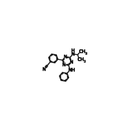 CC(C)Nc1nc(Nc2ccccc2)nc(-c2cccc(C#N)c2)n1